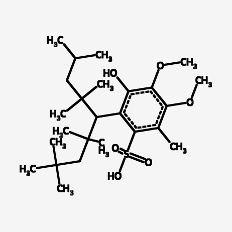 COc1c(C)c(S(=O)(=O)O)c(C(C(C)(C)CC(C)C)C(C)(C)CC(C)(C)C)c(O)c1OC